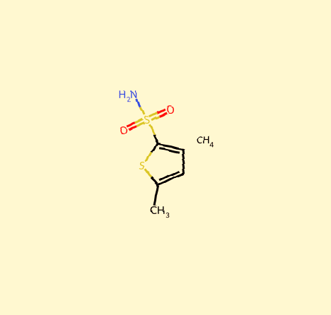 C.Cc1ccc(S(N)(=O)=O)s1